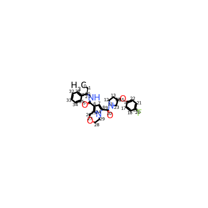 CC[C@@H](NC(=O)c1cc(C(=O)N2CC[C@H](Oc3ccc(F)cc3)C2)n2c1COCC2)c1ccccc1